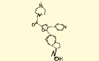 CN1CCN(C(=O)c2cc(-c3ccncc3)c(-c3ccc4c(c3)CC/C4=N\O)o2)CC1